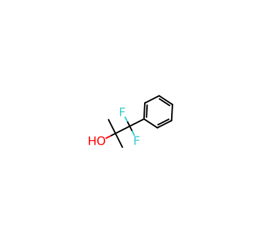 CC(C)(O)C(F)(F)c1ccccc1